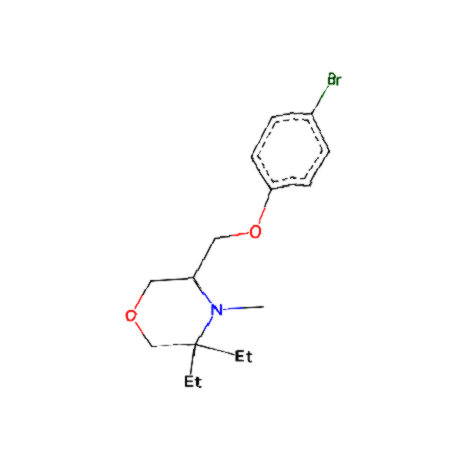 CCC1(CC)COCC(COc2ccc(Br)cc2)N1C